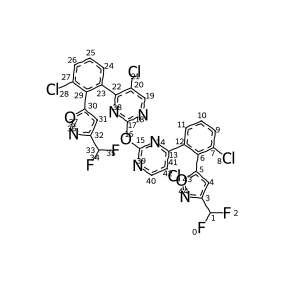 FC(F)c1cc(-c2c(Cl)cccc2-c2nc(Oc3ncc(Cl)c(-c4cccc(Cl)c4-c4cc(C(F)F)no4)n3)ncc2Cl)on1